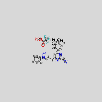 Cc1ccc(-c2cc(CCCNC3CC4CCC3C4)nc(C#N)n2)cc1C.O=C(O)C(F)(F)F